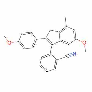 COc1ccc(C2=C(c3ccccc3C#N)c3cc(OC)cc(C)c3C2)cc1